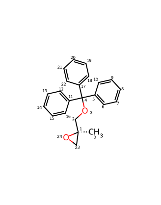 C[C@]1(COC(c2ccccc2)(c2ccccc2)c2ccccc2)CO1